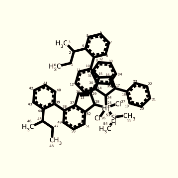 CCC(C)c1ccccc1-c1cccc2c1C=C(c1ccccc1)[CH]2[Hf]([Cl])([Cl])([CH]1C(c2ccccc2)=Cc2c(-c3ccccc3C(C)CC)cccc21)[SiH](C)C